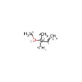 C=C[Si](C)(C)O[SiH3]